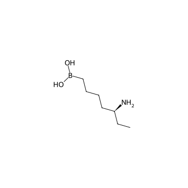 CC[C@H](N)CCCCB(O)O